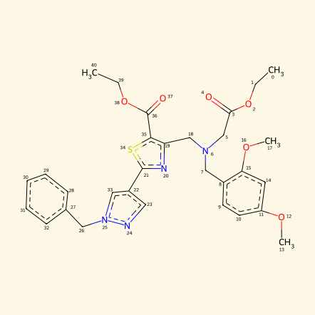 CCOC(=O)CN(Cc1ccc(OC)cc1OC)Cc1nc(-c2cnn(Cc3ccccc3)c2)sc1C(=O)OCC